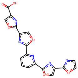 O=C(O)c1coc(-c2coc(-c3cccc(-c4nc(-c5ncco5)co4)n3)n2)n1